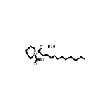 CCCCCCCCCCCC(=O)[N+]1(C(=O)[O-])CCCCC1.[NaH]